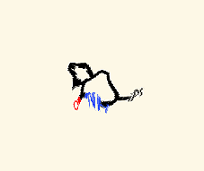 CC(C)C1CCc2ccccc2C(=O)NC1